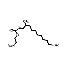 CCCCCCCCCCCCCCCCCCC(COP(O)OCCNC)OC(C)=O